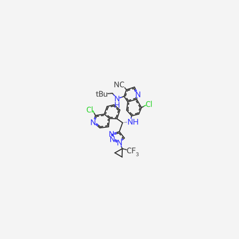 CC(C)(C)CNc1c(C#N)cnc2c(Cl)cc(N[C@H](c3cn(C4(C(F)(F)F)CC4)nn3)c3cccc4c(Cl)nccc34)cc12